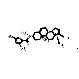 CCC(C)c1nc(C)c(C(=O)N(C)C2CCC3(C)C(=CCC4C3CCC35CN(C)C(C)C3CCC45)C2)s1